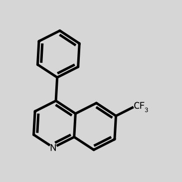 FC(F)(F)c1ccc2nccc(-c3ccccc3)c2c1